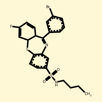 CCCCNS(=O)(=O)c1ccc2c(c1)N=C(c1cccc(Br)c1)C1C=CC(F)=CC1S2